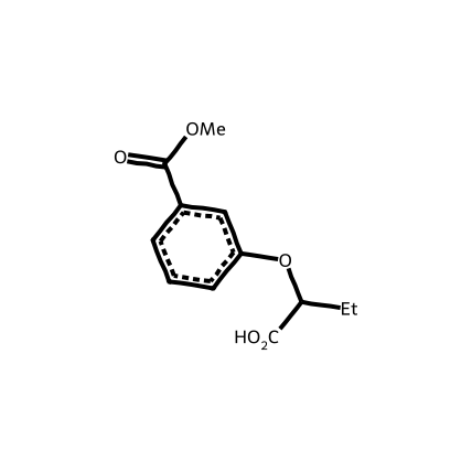 CCC(Oc1cccc(C(=O)OC)c1)C(=O)O